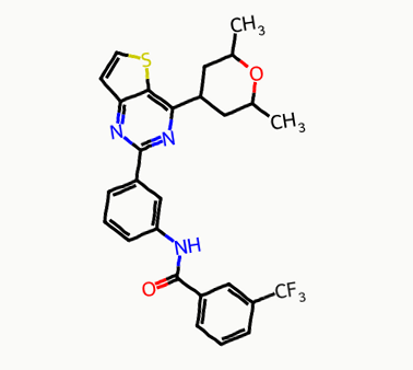 CC1CC(c2nc(-c3cccc(NC(=O)c4cccc(C(F)(F)F)c4)c3)nc3ccsc23)CC(C)O1